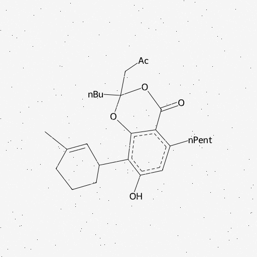 CCCCCc1cc(O)c(C2C=C(C)CCC2)c2c1C(=O)OC(CCCC)(CC(C)=O)O2